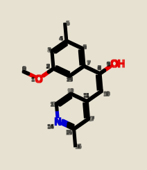 COc1cc(C)cc(/C(O)=C\c2ccnc(C)c2)c1